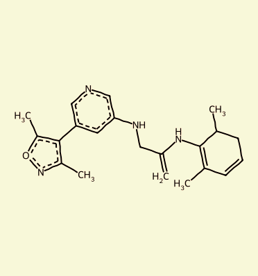 C=C(CNc1cncc(-c2c(C)noc2C)c1)NC1=C(C)C=CCC1C